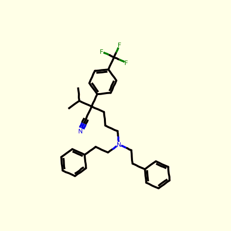 CC(C)C(C#N)(CCCN(CCc1ccccc1)CCc1ccccc1)c1ccc(C(F)(F)F)cc1